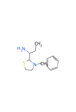 CCC(N)C1SCCN1C.c1ccccc1